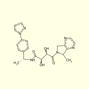 CC1c2nccnc2CN1C(=O)[C@H](O)[C@@H](O)C(=O)N[C@H](C)c1ccc(-n2cccn2)cc1